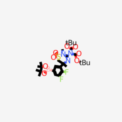 CN1C(N(C(=O)OC(C)(C)C)C(=O)OC(C)(C)C)=NC(C)(c2cc(B3OC(C)(C)C(C)(C)O3)cc(F)c2F)CS1(=O)=O